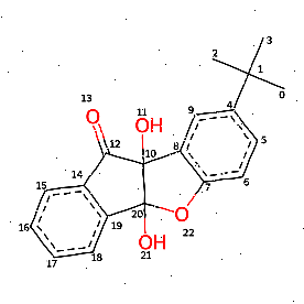 CC(C)(C)c1ccc2c(c1)C1(O)C(=O)c3ccccc3C1(O)O2